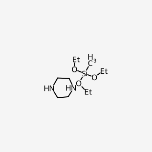 C1CNCCN1.CCO[Si](C)(OCC)OCC